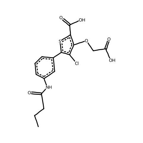 CCCC(=O)Nc1cccc(-c2sc(C(=O)O)c(OCC(=O)O)c2Cl)c1